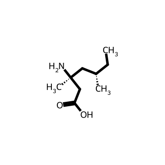 CC[C@H](C)C[C@](C)(N)CC(=O)O